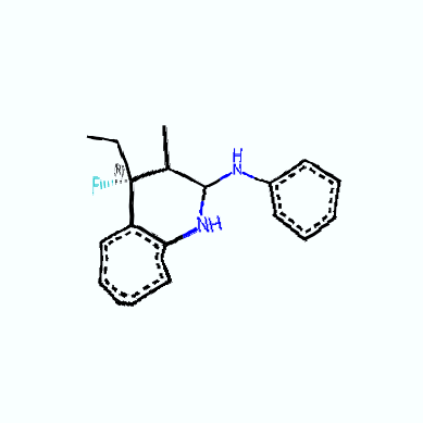 CC[C@]1(F)c2ccccc2NC(Nc2ccccc2)C1C